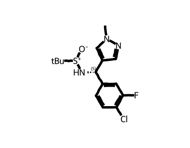 Cn1cc([C@@H](N[S+]([O-])C(C)(C)C)c2ccc(Cl)c(F)c2)cn1